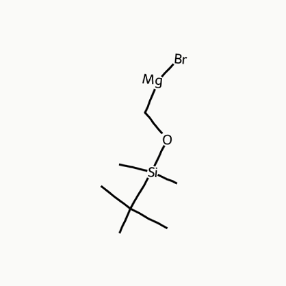 CC(C)(C)[Si](C)(C)O[CH2][Mg][Br]